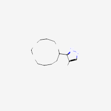 CC1=C[N]N=C1C1CCCCCCCCCCC1